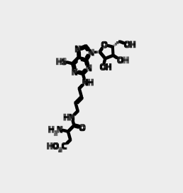 NC(CC(=O)O)C(=O)NC/C=C/CNc1nc(S)c2ncn([C@@H]3O[C@H](CO)C(O)C3O)c2n1